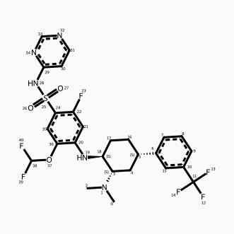 CN(C)[C@H]1C[C@@H](c2cccc(C(F)(F)F)c2)CC[C@@H]1Nc1cc(F)c(S(=O)(=O)Nc2ccncn2)cc1OC(F)F